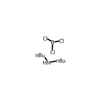 CCCCNCCCC.ClB(Cl)Cl